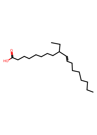 CCCCCCC/C=C/C(CC)CCCCCCCC(=O)O